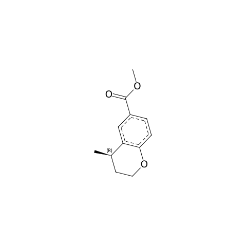 COC(=O)c1ccc2c(c1)[C@H](C)CCO2